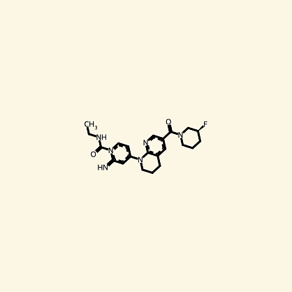 CCNC(=O)n1ccc(N2CCCc3cc(C(=O)N4CCC[C@H](F)C4)cnc32)cc1=N